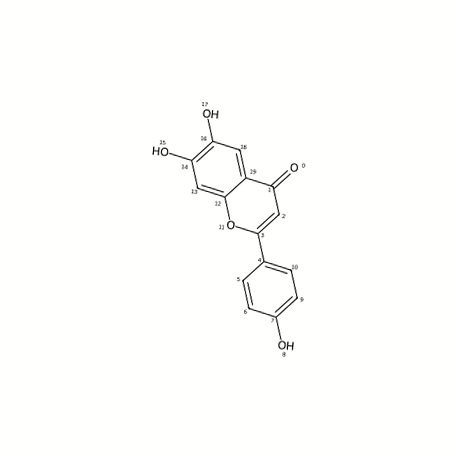 O=c1cc(-c2ccc(O)cc2)oc2cc(O)c(O)cc12